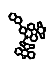 c1ccc2c(c1)Oc1ccccc1C21c2ccccc2-c2c(N(c3ccc(-c4ccc5ccccc5c4)cc3)c3cccc4c3-c3ccccc3C43c4ccccc4Sc4ccccc43)cccc21